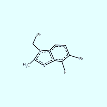 Cc1nc2c(F)c(Br)ccc2n1CC(C)C